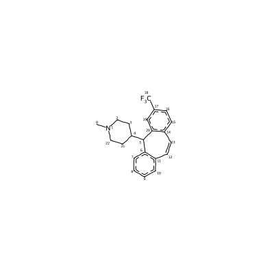 CN1CCC(C2c3ccccc3C=Cc3ccc(C(F)(F)F)cc32)CC1